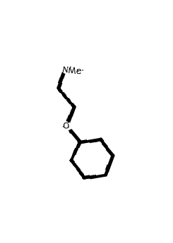 C[N]CCOC1CCCCC1